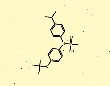 CC(C)c1ccc(N(c2ccc(SC(F)(F)F)cc2)P(C)(=O)O)cc1